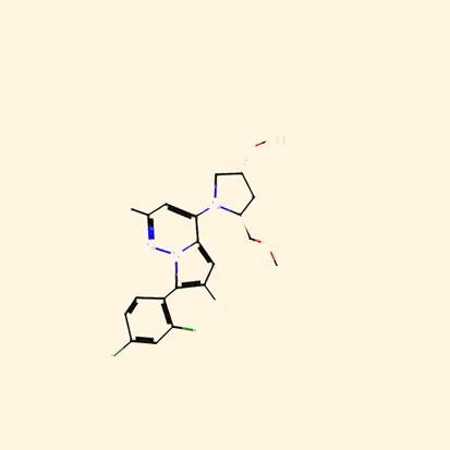 COC[C@@H]1C[C@@H](OC)CN1c1cc(C)nn2c(-c3ccc(Cl)cc3Cl)c(C)cc12